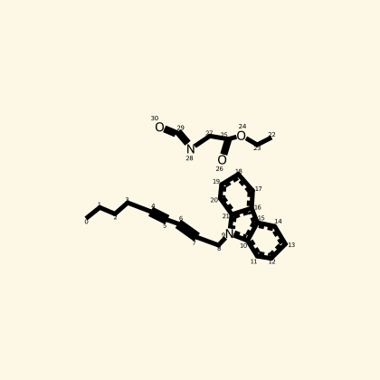 CCCCC#CC#CCn1c2ccccc2c2ccccc21.CCOC(=O)CN=C=O